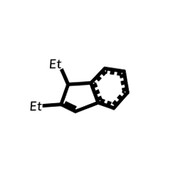 CCC1=Cc2ccccc2C1CC